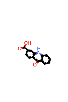 O=C(O)c1ccc2c(=O)c3ccccc3[nH]c2c1